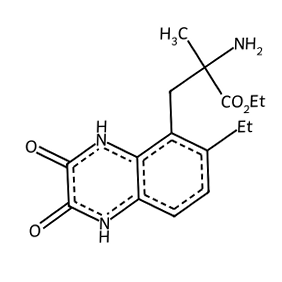 CCOC(=O)C(C)(N)Cc1c(CC)ccc2[nH]c(=O)c(=O)[nH]c12